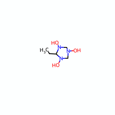 CCC1N(O)CN(O)CN1O